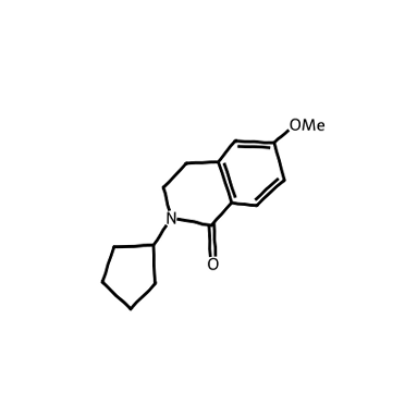 COc1ccc2c(c1)CCN(C1CCCC1)C2=O